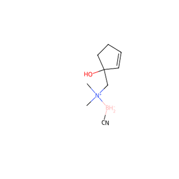 C[N+](C)([BH2-]C#N)CC1(O)C=CCC1